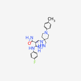 Cc1ccc(N2CCC(CN)(N/C=C(\C(=N)Nc3ccc(F)cc3)C(N)=O)CC2)cc1